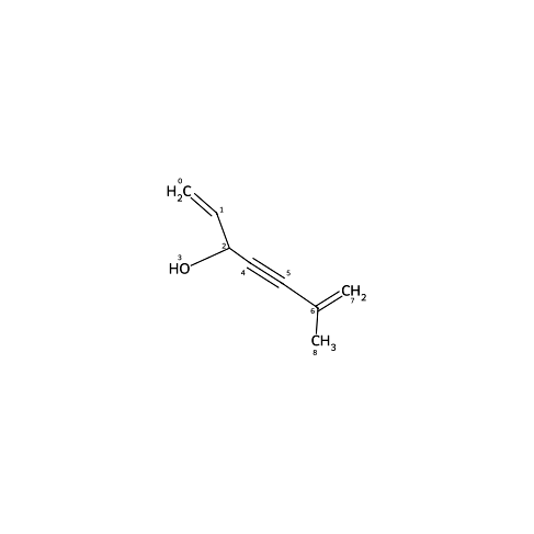 C=CC(O)C#CC(=C)C